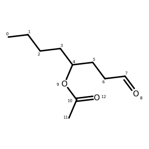 CCCCC(CCC=O)OC(C)=O